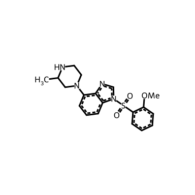 COc1ccccc1S(=O)(=O)n1cnc2c(N3CCNC(C)C3)cccc21